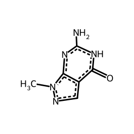 Cn1ncc2c(=O)[nH]c(N)nc21